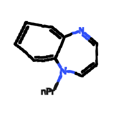 CCCN1C=CC=Nc2ccccc21